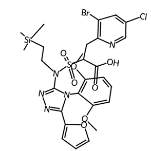 COc1cccc(OC)c1-n1c(-c2ccco2)nnc1N(CC[Si](C)(C)C)S(=O)(=O)C(Cc1ncc(Cl)cc1Br)C(=O)O